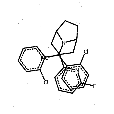 N#CC1(c2cccc(F)n2)CC2CCC(C1)N2C(c1ccccc1Cl)c1ccccc1Cl